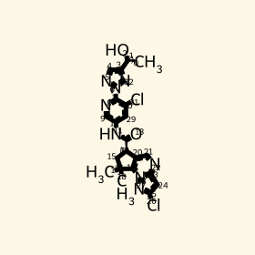 C[C@H](O)c1cnn(-c2ncc(NC(=O)[C@@H]3CC(C)(C)c4c3cnc3cc(Cl)nn43)cc2Cl)n1